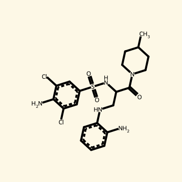 CC1CCN(C(=O)C(CNc2ccccc2N)NS(=O)(=O)c2cc(Cl)c(N)c(Cl)c2)CC1